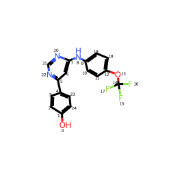 Oc1ccc(-c2cc(Nc3ccc(OC(F)(F)F)cc3)ncn2)cc1